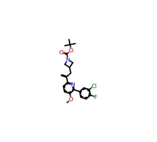 C=C(CC1CN(C(=O)OC(C)(C)C)C1)c1ccc(OC)c(-c2ccc(F)c(Cl)c2)n1